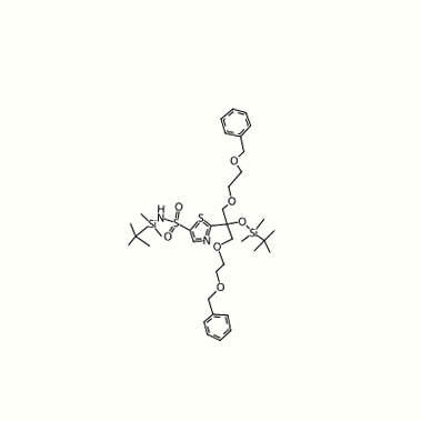 CC(C)(C)[Si](C)(C)NS(=O)(=O)c1cnc(C(COCCOCc2ccccc2)(COCCOCc2ccccc2)O[Si](C)(C)C(C)(C)C)s1